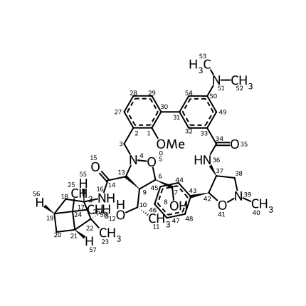 COc1c(CN2O[C@@H](CO)[C@@H]([C@H](C)O)C2C(=O)N[C@H]2C[C@H]3C[C@@H]([C@@H]2C)C3(C)C)cccc1-c1cc(C(=O)N[C@H]2CN(C)O[C@H]2c2ccccc2)cc(N(C)C)c1